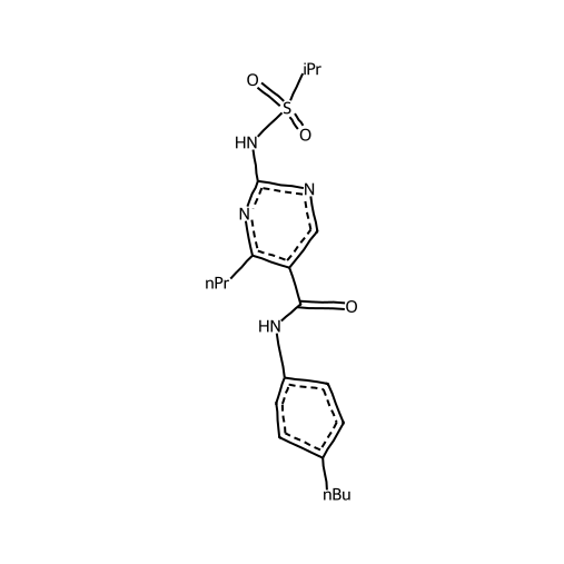 CCCCc1ccc(NC(=O)c2cnc(NS(=O)(=O)C(C)C)nc2CCC)cc1